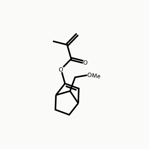 C=C(C)C(=O)OC1=CC2CCC1C2COC